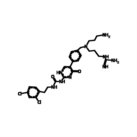 N=C(N)NCCCN(CCCN)Cc1ccc(-c2c[nH]c(NC(=O)NCCc3ccc(Cl)cc3Cl)nc2=O)cc1